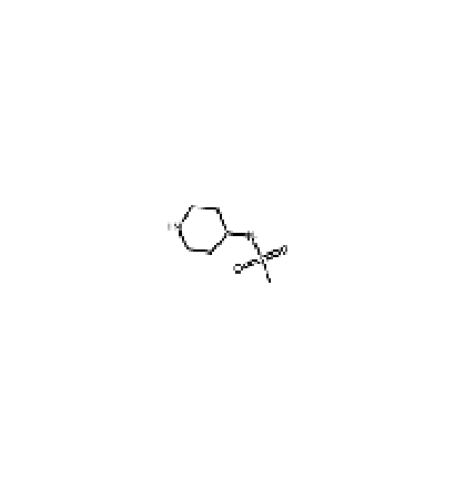 CS(=O)(=O)[N]C1CCNCC1